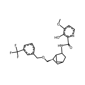 COc1ccnc(C(=O)NC2CC3CC2[C@H](COCc2cccc(C(F)(F)F)c2)C3)c1O